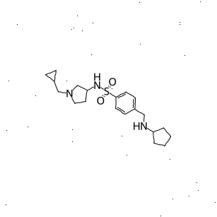 O=S(=O)(NC1CCN(CC2CC2)C1)c1ccc(CNC2CCCC2)cc1